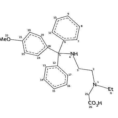 CCN(CCNC(c1ccccc1)(c1ccccc1)c1ccc(OC)cc1)CC(=O)O